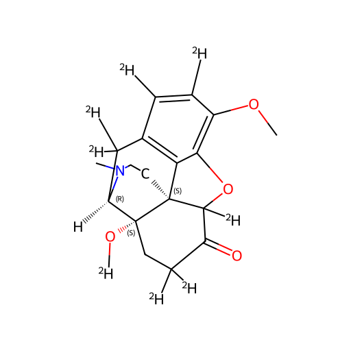 [2H]O[C@@]12CC([2H])([2H])C(=O)C3([2H])Oc4c(OC)c([2H])c([2H])c5c4[C@@]31CCN(C)[C@@H]2C5([2H])[2H]